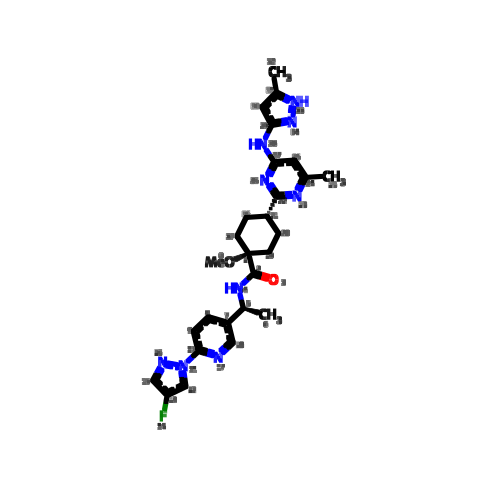 CO[C@]1(C(=O)N[C@@H](C)c2ccc(-n3cc(F)cn3)nc2)CC[C@@H](c2nc(C)cc(Nc3cc(C)[nH]n3)n2)CC1